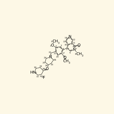 COc1cc(-c2cn(C)c(=O)c3cnccc23)c(OC)cc1CN1CCC(O[C@@H]2CCNC[C@H]2F)CC1